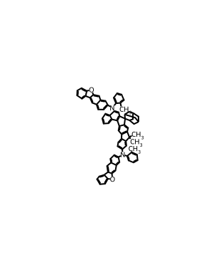 Cc1ccccc1N(c1ccc2c(c1)C(C)(C)c1cc3c(cc1-2)-c1c(cc(N(c2ccc4cc5c(cc4c2)oc2ccccc25)c2ccccc2C)c2ccccc12)C31C2CC3CC(C2)CC1C3)c1ccc2cc3c(cc2c1)oc1ccccc13